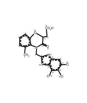 Cc1cccc2c1N(Cc1nc3cc(Cl)c(Cl)c(Cl)c3s1)C(=O)C(CC(=O)O)O2